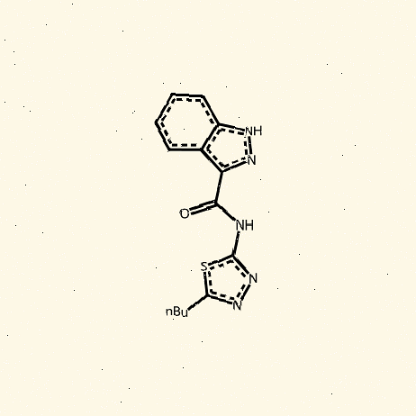 CCCCc1nnc(NC(=O)c2n[nH]c3ccccc23)s1